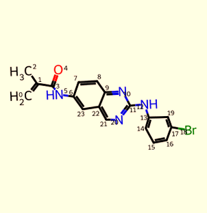 C=C(C)C(=O)Nc1ccc2nc(Nc3cccc(Br)c3)ncc2c1